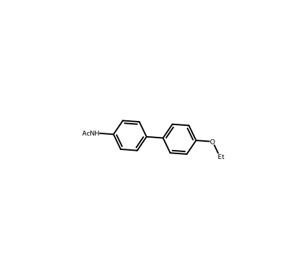 [CH2]COc1ccc(-c2ccc(NC(C)=O)cc2)cc1